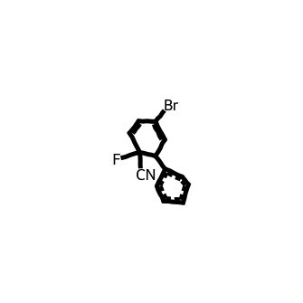 N#CC1(F)C=CC(Br)=CC1c1ccccc1